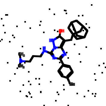 CN(C)CCCNC1=NC(c2ccc(C(C)(C)C)cc2)=NC2=C(CC34CC5CC(CC(C5)C3)C4)C(O)NN12